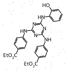 CCOC(=O)c1ccc(Nc2nc(Nc3ccc(C(=O)OCC)cc3)nc(Nc3ccccc3O)n2)cc1